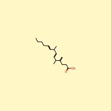 C=C(CCC(=O)O)C(C)/C=C/C(C)/C=C/CCCC